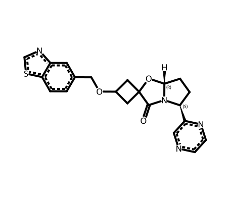 O=C1N2[C@@H](CC[C@H]2c2cnccn2)OC12CC(OCc1ccc3scnc3c1)C2